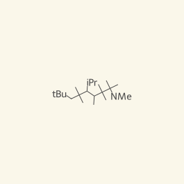 CNC(C)(C)C(C)(C)C(C)C(C(C)C)C(C)(C)CC(C)(C)C